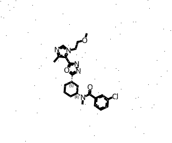 COCCn1cnc(C)c1-c1nnc([C@H]2CCC[C@@H](N(C)C(=O)c3cccc(Cl)c3)C2)o1